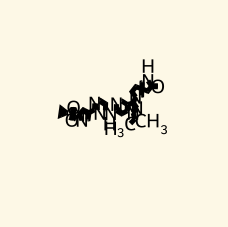 CC(C)n1nc(N2CCC3(CNC(=O)C3)C2)c2cnc(Nc3ccnc(-c4cnn(S(=O)(=O)C5CC5)c4)n3)cc21